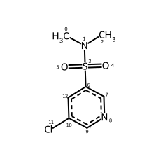 CN(C)S(=O)(=O)c1cn[c]c(Cl)c1